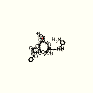 CC[C@H]1OC(=O)[C@H](C)[C@@H](O[C@H]2C[C@@](C)(OC)[C@@H](OC(=O)c3ccccc3)[C@H](C)O2)[C@H](C)[C@@H](O[C@@H]2O[C@H](C)C[C@H](N(C)C)[C@H]2C)[C@@](C)(OC)C[C@@H](C)C(=O)[C@H](C)[C@@H]2N(CCCCn3cc(-c4cccc(N)c4)nn3)C(=O)O[C@@]21C